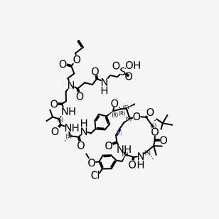 C=CCOC(=O)CCN(CCC(=O)N[C@H](C(=O)N[C@@H](C)C(=O)NCc1ccc([C@H]2O[C@@H]2[C@@H](C)[C@@H]2C/C=C/C(=O)N[C@H](Cc3ccc(OC)c(Cl)c3)C(=O)N[C@@H](C)C(C)(C)C(=O)O[C@@H](CC(C)(C)C)C(=O)O2)cc1)C(C)C)C(=O)CCC(=O)NCCS(=O)(=O)O